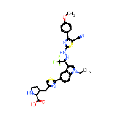 CCn1cc(/C(=N/Nc2nc(-c3ccc(OC)cc3)c(C#N)s2)C(F)(F)F)c2cc(-c3nc(CC4CCN[C@@H]4C(=O)O)cs3)ccc21